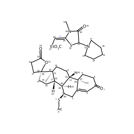 CC(=O)S[C@@H]1CC2=CC(=O)CC[C@]2(C)[C@H]2CC[C@@]3(C)[C@@H](CC[C@@]34CCC(=O)O4)[C@H]12.CCOC(=O)/C=C1\SC(N2CCCCC2)C(=O)N1C